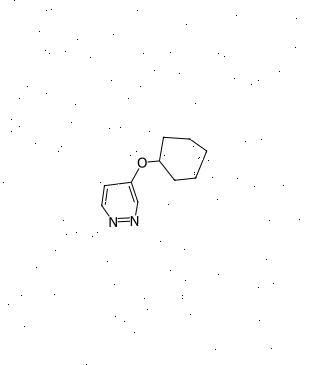 c1cc(OC2CCCCC2)cnn1